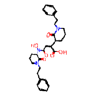 O=C(O)C(CC(=O)N(O)[C@H]1CCCN(CCc2ccccc2)C1=O)C1CCCN(CCc2ccccc2)C1=O